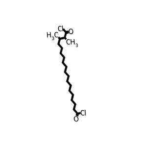 CC(CCCCCCCCCCCCCCCC(=O)Cl)C(C)C(=O)Cl